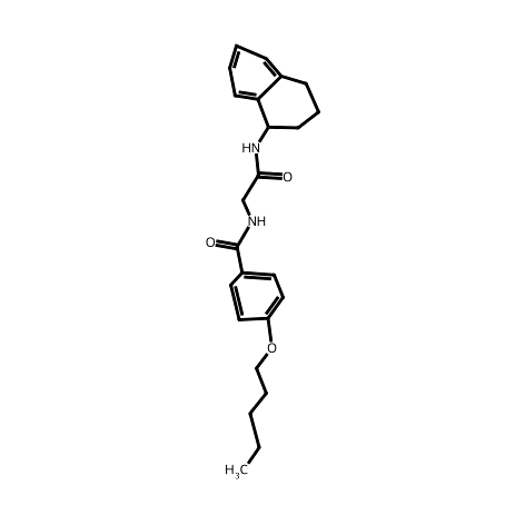 CCCCCOc1ccc(C(=O)NCC(=O)NC2CCCc3ccccc32)cc1